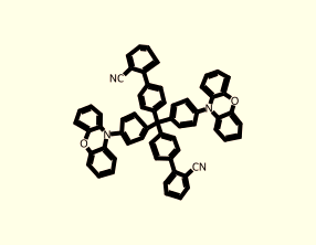 N#Cc1ccccc1-c1ccc(C(c2ccc(-c3ccccc3C#N)cc2)(c2ccc(N3c4ccccc4Oc4ccccc43)cc2)c2ccc(N3c4ccccc4Oc4ccccc43)cc2)cc1